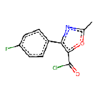 Cc1nc(-c2ccc(F)cc2)c(C(=O)Cl)o1